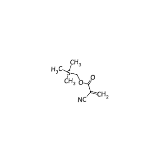 C=C(C#N)C(=O)OCS(C)(C)C